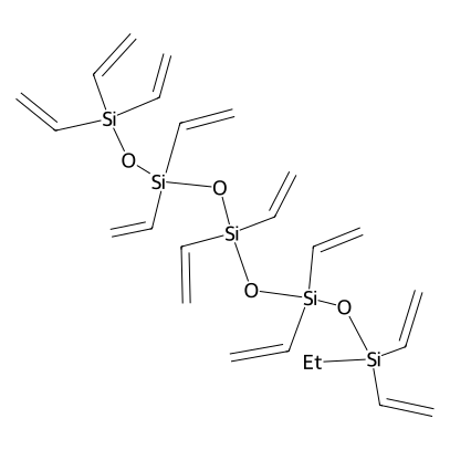 C=C[Si](C=C)(C=C)O[Si](C=C)(C=C)O[Si](C=C)(C=C)O[Si](C=C)(C=C)O[Si](C=C)(C=C)CC